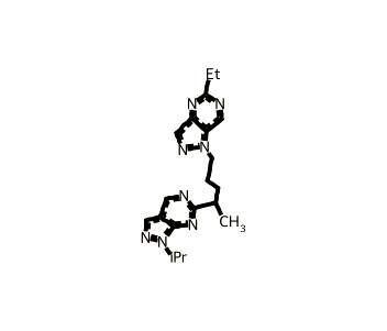 CCc1ncc2c(cnn2CCCC(C)c2ncc3cnn(C(C)C)c3n2)n1